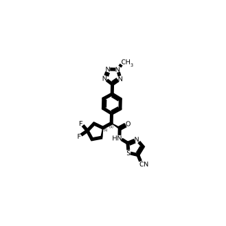 Cn1nnc(-c2ccc([C@@H](C(=O)Nc3ncc(C#N)s3)[C@H]3CCC(F)(F)C3)cc2)n1